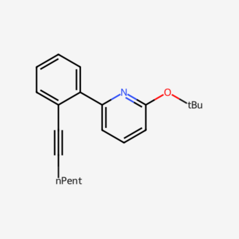 CCCCCC#Cc1ccccc1-c1cccc(OC(C)(C)C)n1